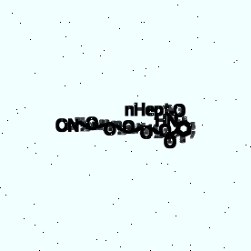 CCCCCCCC(=O)Nc1ccccc1C(=O)OCCOCCOCCOCCOCCN=O